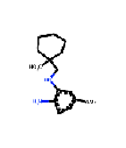 COc1ccc(N)c(NCC2(C(=O)O)CCCCC2)c1